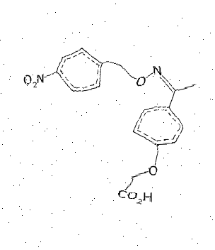 CC(=NOCc1ccc([N+](=O)[O-])cc1)c1ccc(OCC(=O)O)cc1